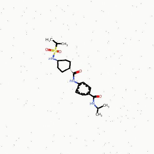 CC(C)NC(=O)c1ccc(NC(=O)[C@H]2CC[C@H](NS(=O)(=O)C(C)C)CC2)cc1